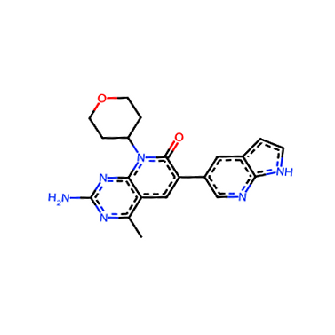 Cc1nc(N)nc2c1cc(-c1cnc3[nH]ccc3c1)c(=O)n2C1CCOCC1